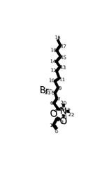 C=CC(=O)OC(CCCCCCCCCCCCC)[N+](C)(C)C.[Br-]